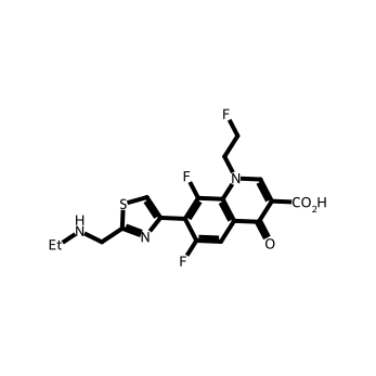 CCNCc1nc(-c2c(F)cc3c(=O)c(C(=O)O)cn(CCF)c3c2F)cs1